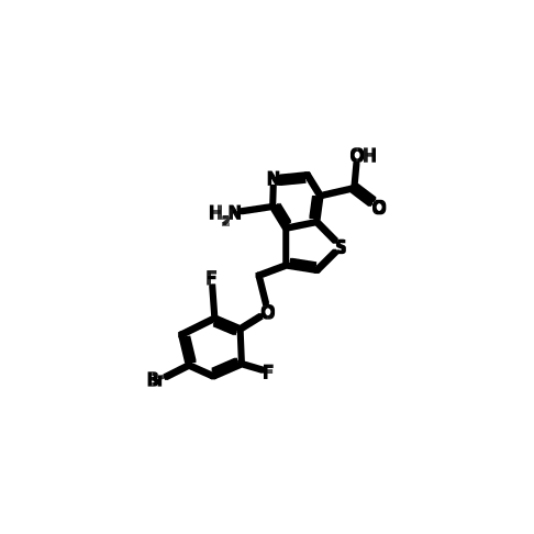 Nc1ncc(C(=O)O)c2scc(COc3c(F)cc(Br)cc3F)c12